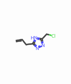 C=CCc1nnc(CCl)[nH]1